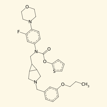 CCCOc1cccc(CN2CC3C(C2)C3CN(C(=O)Oc2cccs2)c2ccc(N3CCOCC3)c(F)c2)c1